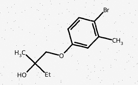 CCC(C)(O)COc1ccc(Br)c(C)c1